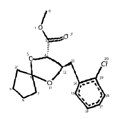 COC(=O)[C@H]1OC2(CCCC2)O[C@@H]1Cc1ccccc1Cl